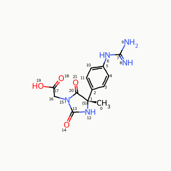 C[C@@]1(c2ccc(NC(=N)N)cc2)NC(=O)N(CC(=O)O)C1=O